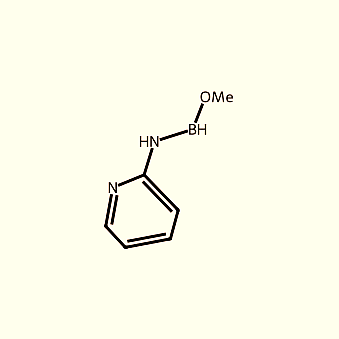 COBNc1ccccn1